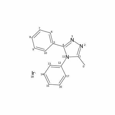 Cc1nnc(-c2ccccc2)n1-c1ccccc1.[Ir]